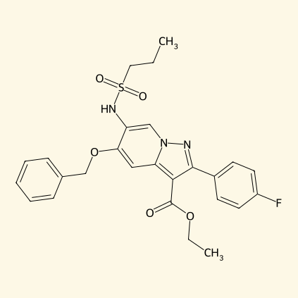 CCCS(=O)(=O)Nc1cn2nc(-c3ccc(F)cc3)c(C(=O)OCC)c2cc1OCc1ccccc1